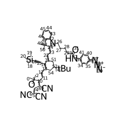 CC1(C)OC(=C(C#N)C#N)C(C#N)=C1/C=C/C1=C(C#C[Si](C)(C)C)C(=C/C=C2/N(CCCCC(=O)Nc3ccc(N=[N+]=[N-])cc3)c3ccccc3C2(C)C)/CC(C(C)(C)C)C1